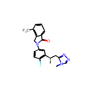 C[C@H](Cc1nncn1C)c1cc(N2Cc3c(cccc3C(F)(F)F)C2=O)ccc1F